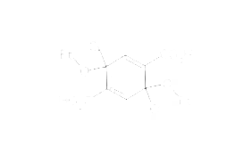 CCOC1(Cl)C=C(C(=O)O)C(Cl)(OCC)C=C1C(=O)O